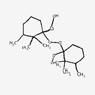 CC1CCCC(OO)(OOC2(OO)CCCC(C)C2(C)C)C1(C)C